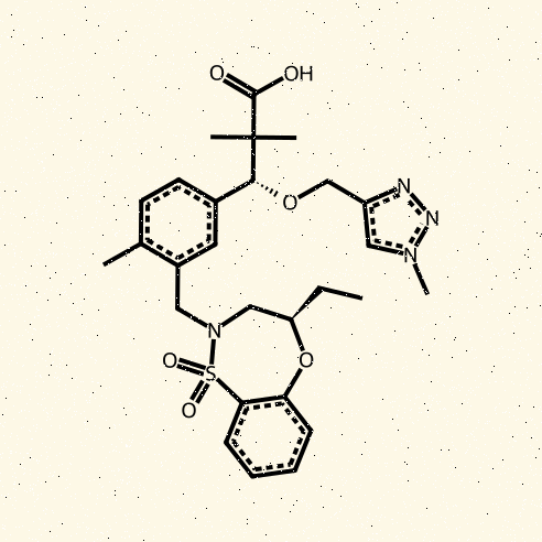 CC[C@@H]1CN(Cc2cc([C@@H](OCc3cn(C)nn3)C(C)(C)C(=O)O)ccc2C)S(=O)(=O)c2ccccc2O1